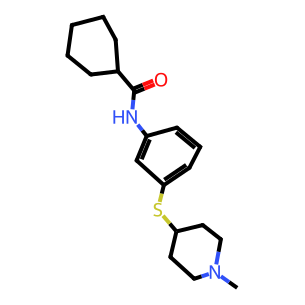 CN1CCC(Sc2cccc(NC(=O)C3CCCCC3)c2)CC1